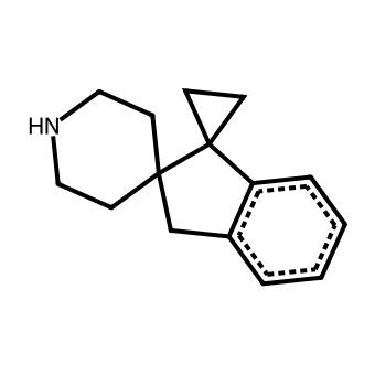 c1ccc2c(c1)CC1(CCNCC1)C21CC1